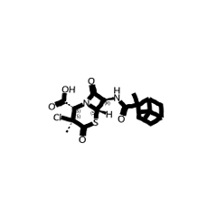 CC1(C(=O)N[C@@H]2C(=O)N3[C@@H](C(=O)O)[C@](C)(Cl)C(=O)S[C@@H]23)CCC2CC1C2(C)C